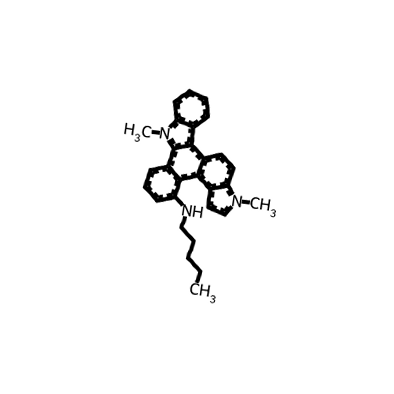 CCCCCNc1cccc2c1c1c(ccc3c1ccn3C)c1c3ccccc3n(C)c21